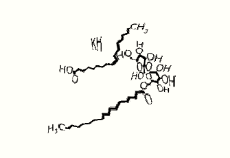 CCCCCCCC/C=C\CCCCCCCC(=O)O.CCCCCCCCCCCCCCCCCC(=O)OC[C@H]1O[C@H](O[C@]2(CO)O[C@H](CO)[C@@H](O)[C@@H]2O)[C@H](O)[C@@H](O)[C@@H]1O.[KH]